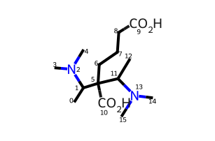 CC(N(C)C)C(CCCC(=O)O)(C(=O)O)C(C)N(C)C